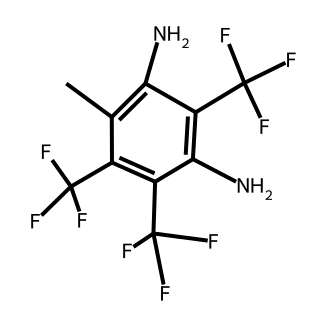 Cc1c(N)c(C(F)(F)F)c(N)c(C(F)(F)F)c1C(F)(F)F